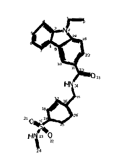 CCn1c2ccccc2c2cc(C(=O)NCC3C=CC(S(=O)(=O)NC)CC3)ccc21